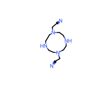 N#CCN1CCNCCN(CC#N)CCNCC1